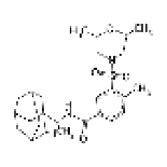 Cc1ccc(C(=O)NC(C)C23CC4CC(CC(C4)C2I)C3)cc1S(=O)(=O)N1CC(C)OC(C)C1